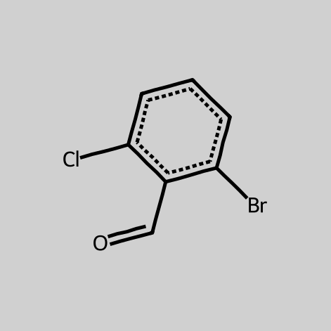 O=Cc1c(Cl)cccc1Br